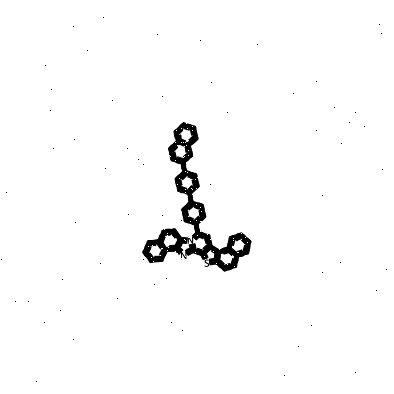 c1ccc2cc(-c3ccc(-c4ccc(-c5cc6c(sc7ccc8ccccc8c76)c6nc7c8ccccc8ccc7n56)cc4)cc3)ccc2c1